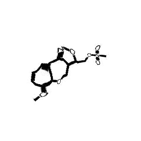 COc1cccc2c1OCC1C2=NOC1COS(C)(=O)=O